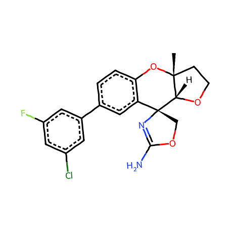 C[C@@]12CCO[C@@H]1[C@@]1(COC(N)=N1)c1cc(-c3cc(F)cc(Cl)c3)ccc1O2